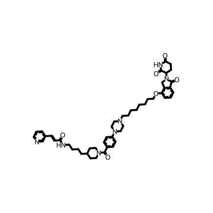 O=C(/C=C/c1cccnc1)NCCCCC1CCN(C(=O)c2ccc(N3CCN(CCCCCCCCOc4cccc5c4CN(C4CCC(=O)NC4=O)C5=O)CC3)cc2)CC1